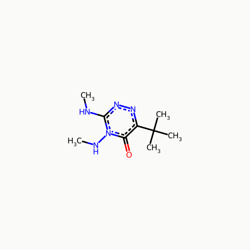 CNc1nnc(C(C)(C)C)c(=O)n1NC